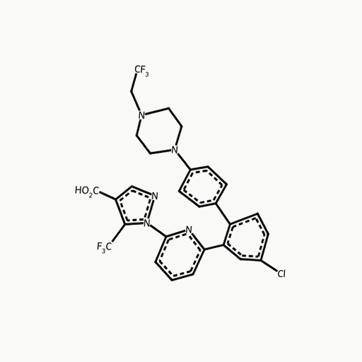 O=C(O)c1cnn(-c2cccc(-c3cc(Cl)ccc3-c3ccc(N4CCN(CC(F)(F)F)CC4)cc3)n2)c1C(F)(F)F